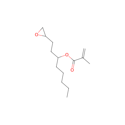 C=C(C)C(=O)OC(CCCCC)CCC1CO1